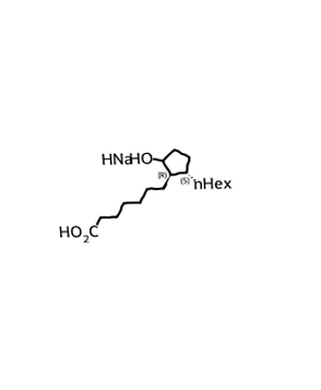 CCCCCC[C@H]1CCC(O)[C@@H]1CCCCCCC(=O)O.[NaH]